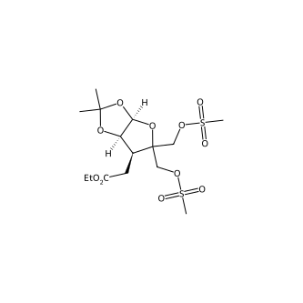 CCOC(=O)C[C@H]1[C@H]2OC(C)(C)O[C@H]2OC1(COS(C)(=O)=O)COS(C)(=O)=O